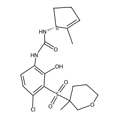 CC1=CCC[C@H]1NC(=O)Nc1ccc(Cl)c(S(=O)(=O)C2(C)CCCOC2)c1O